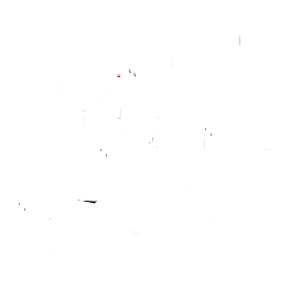 CS(=O)(=O)/C(F)=C/[C@H](C[C@@H]1CCNC1=O)NC(=O)[C@H]1[C@H]2CC[C@H](CC2(F)F)N1C(=O)c1cc2c(F)ccc(F)c2[nH]1